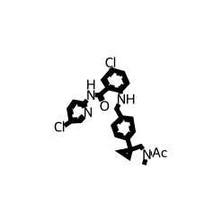 CC(=O)N(C)CC1(c2ccc(CNc3ccc(Cl)cc3C(=O)Nc3ccc(Cl)cn3)cc2)CC1